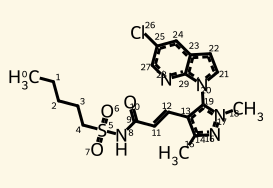 CCCCCS(=O)(=O)NC(=O)/C=C/c1c(C)nn(C)c1-n1ccc2cc(Cl)cnc21